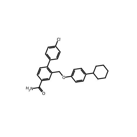 NC(=O)c1ccc(-c2ccc(Cl)cc2)c(COc2ccc(C3[CH]CCCC3)cc2)c1